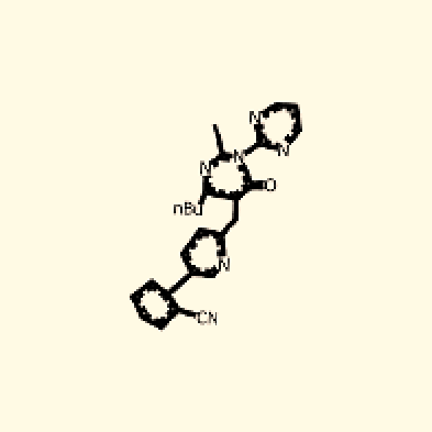 CCCCc1nc(C)n(-c2ncccn2)c(=O)c1Cc1ccc(-c2ccccc2C#N)cn1